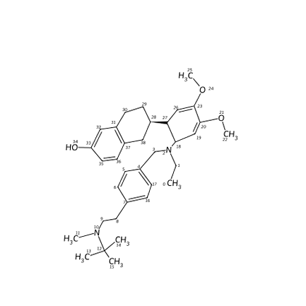 CCN(Cc1ccc(CCN(C)C(C)(C)C)cc1)C1C=C(OC)C(OC)=CC1[C@@H]1CCc2cc(O)ccc2C1